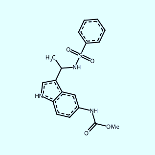 COC(=O)Nc1ccc2[nH]cc(C(C)NS(=O)(=O)c3ccccc3)c2c1